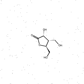 O=C1O[C@H](CO)[C@@H](CO)[C@H]1O